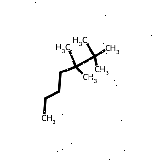 CCCCC(C)(C)C(C)(C)C